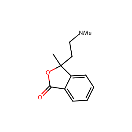 CNCCC1(C)OC(=O)c2ccccc21